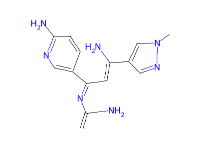 C=C(N)/N=C(\C=C(/N)c1cnn(C)c1)c1ccc(N)nc1